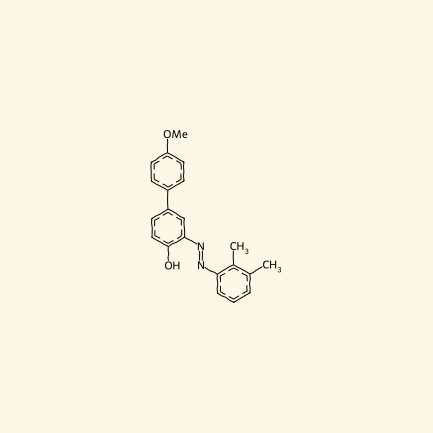 COc1ccc(-c2ccc(O)c(/N=N/c3cccc(C)c3C)c2)cc1